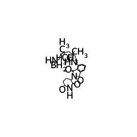 BNCCC(C)(C)CC(C)(C)CNc1cccc2c1C(=O)N(C1CCC(=O)NC1=O)C2=O